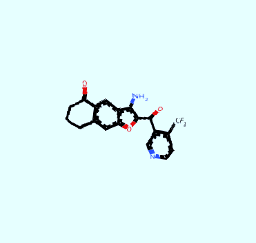 Nc1c(C(=O)c2cnccc2C(F)(F)F)oc2cc3c(cc12)C(=O)CCC3